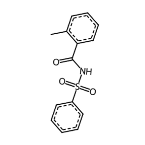 Cc1ccccc1C(=O)NS(=O)(=O)c1ccccc1